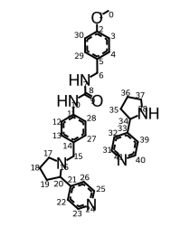 COc1ccc(CNC(=O)Nc2ccc(CN3CCCC3c3ccncc3)cc2)cc1.c1cc(C2CCCN2)ccn1